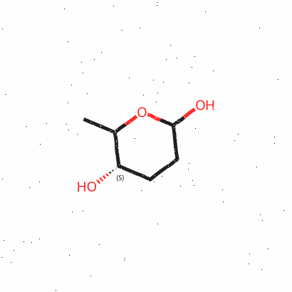 CC1OC(O)CC[C@@H]1O